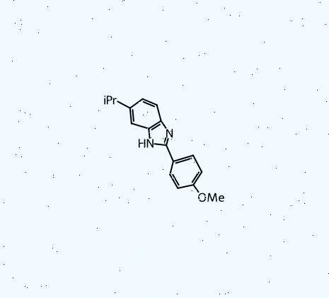 COc1ccc(-c2nc3ccc(C(C)C)cc3[nH]2)cc1